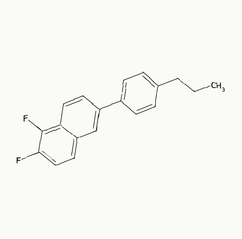 CCCc1ccc(-c2ccc3c(F)c(F)ccc3c2)cc1